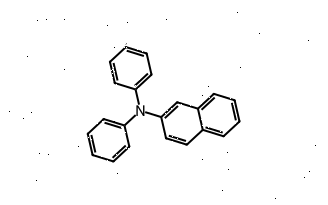 [c]1ccc(N(c2ccccc2)c2ccc3ccccc3c2)cc1